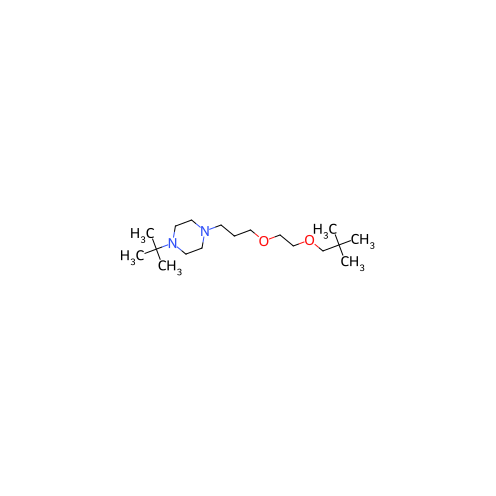 CC(C)(C)COCCOCCCN1CCN(C(C)(C)C)CC1